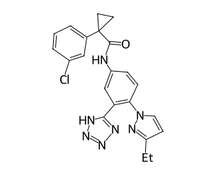 CCc1ccn(-c2ccc(NC(=O)C3(c4cccc(Cl)c4)CC3)cc2-c2nnn[nH]2)n1